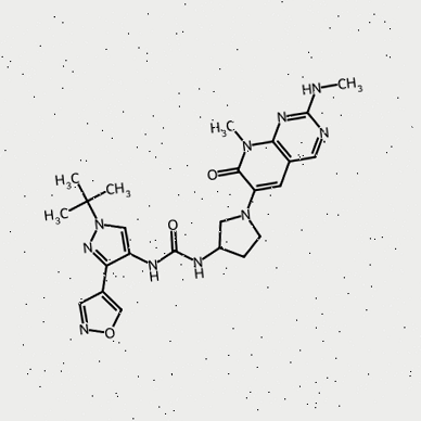 CNc1ncc2cc(N3CCC(NC(=O)Nc4cn(C(C)(C)C)nc4-c4cnoc4)C3)c(=O)n(C)c2n1